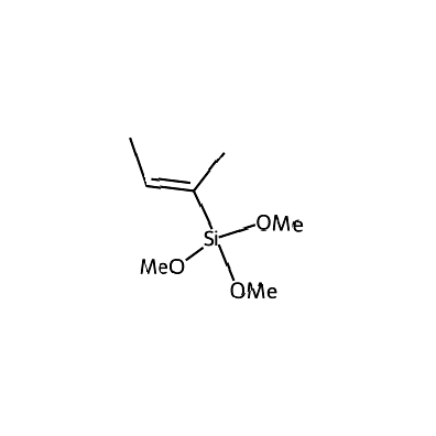 CC=C(C)[Si](OC)(OC)OC